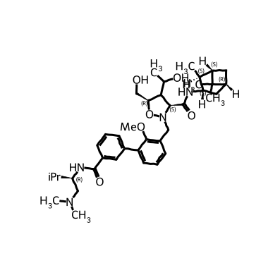 COc1c(CN2O[C@@H](CO)C(C(C)O)[C@H]2C(=O)N[C@H]2C[C@H]3C[C@@H]([C@@H]2C)C3(C)C)cccc1-c1cccc(C(=O)N[C@@H](CN(C)C)C(C)C)c1